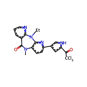 CCN1c2ncccc2C(=O)N(C)c2ccc(-c3c[nH]c(C(=O)C(Cl)(Cl)Cl)c3)nc21